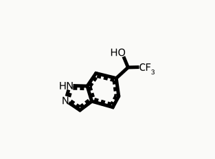 OC(c1ccc2cn[nH]c2c1)C(F)(F)F